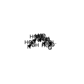 N#CP(=O)(O)O.N#CP(=O)(O)O.N#CP(=O)(O)O.N#CP(=O)(O)O.O=C([O-])C(=O)O.[Li+]